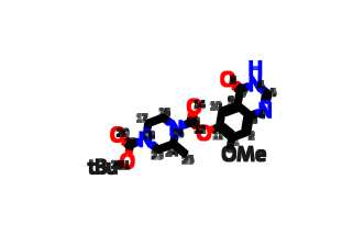 COc1cc2nc[nH]c(=O)c2cc1OC(=O)N1CCN(C(=O)OC(C)(C)C)CC1C